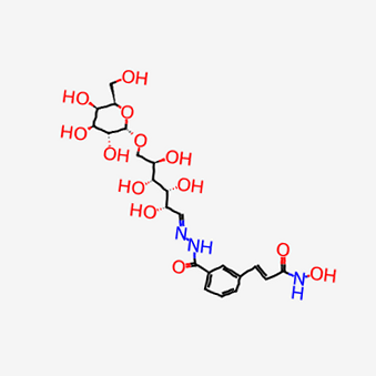 O=C(/C=C/c1cccc(C(=O)N/N=C/[C@H](O)[C@@H](O)[C@H](O)[C@H](O)CO[C@H]2O[C@H](CO)[C@H](O)[C@H](O)[C@H]2O)c1)NO